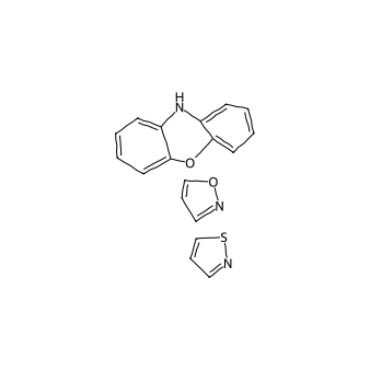 c1ccc2c(c1)Nc1ccccc1O2.c1cnoc1.c1cnsc1